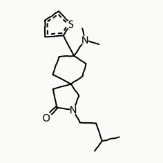 CC(C)CCN1CC2(CCC(c3cccs3)(N(C)C)CC2)CC1=O